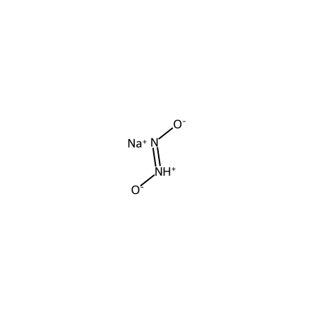 [Na+].[O-]N=[NH+][O-]